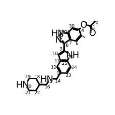 CC(=O)Oc1ccc2c(-c3cc4cc(CNCC5CCNCC5)ccc4[nH]3)n[nH]c2c1